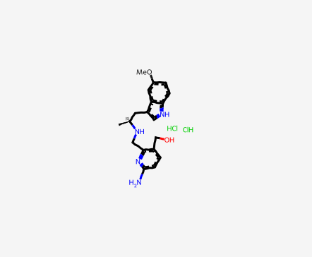 COc1ccc2[nH]cc(C[C@H](C)NCc3nc(N)ccc3CO)c2c1.Cl.Cl